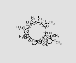 C=CC[C@H]1C(=O)C[C@@H](O)C(C)[C@@H]2CC(=O)[C@@]3(O)C(CCCC3C2C(C)[C@@H]2CCC(OC)[C@H](OC)C2)C(=O)C(=O)C2(OC)OC(C)(C(OC)CC2C)[C@@H](OC)C[C@H](C)CC(C)[C@H]1C